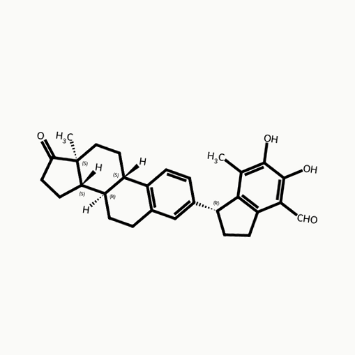 Cc1c(O)c(O)c(C=O)c2c1[C@@H](c1ccc3c(c1)CC[C@@H]1[C@@H]3CC[C@]3(C)C(=O)CC[C@@H]13)CC2